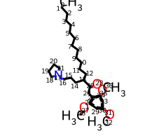 CCCCCCCCCCCCCC(CCCN1CCCC1)C(=O)Cc1c(OC)cc(OC)cc1OC